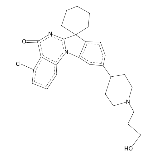 O=c1nc2n(c3cccc(Cl)c13)-c1cc(C3CCN(CCCO)CC3)ccc1C21CCCCC1